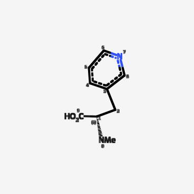 CN[C@@H](Cc1cccnc1)C(=O)O